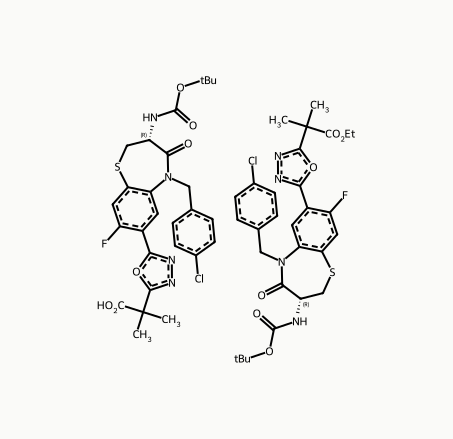 CC(C)(C)OC(=O)N[C@H]1CSc2cc(F)c(-c3nnc(C(C)(C)C(=O)O)o3)cc2N(Cc2ccc(Cl)cc2)C1=O.CCOC(=O)C(C)(C)c1nnc(-c2cc3c(cc2F)SC[C@H](NC(=O)OC(C)(C)C)C(=O)N3Cc2ccc(Cl)cc2)o1